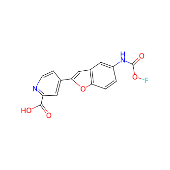 O=C(Nc1ccc2oc(-c3ccnc(C(=O)O)c3)cc2c1)OF